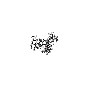 CCc1c(F)ccc2cc(O)cc(-c3ncc4c(N5C[C@H]6CC[C@@H](C5)C6CC(N)=O)nc(OC[C@@]56CCCN5C[C@H](F)C6)nc4c3F)c12